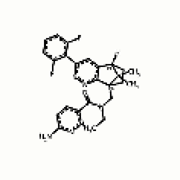 CCN(C[C@@]12CC[C@@H](c3cc(-c4c(F)cccc4F)nnc31)C2(C)C)C(=O)c1ccc(N)nn1